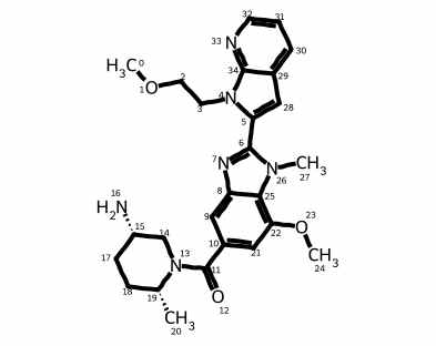 COCCn1c(-c2nc3cc(C(=O)N4C[C@@H](N)CC[C@H]4C)cc(OC)c3n2C)cc2cccnc21